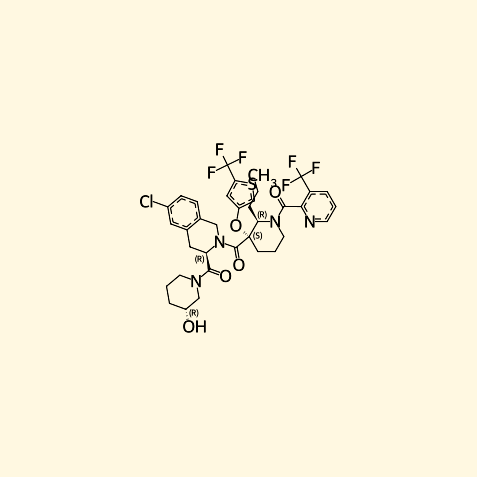 CCC[C@H]1N(C(=O)c2ncccc2C(F)(F)F)CCC[C@@]1(Oc1csc(C(F)(F)F)c1)C(=O)N1Cc2ccc(Cl)cc2C[C@@H]1C(=O)N1CCC[C@@H](O)C1